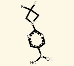 OB(O)c1cnc(N2CC(F)(F)C2)nc1